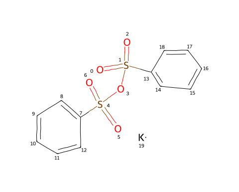 O=S(=O)(OS(=O)(=O)c1ccccc1)c1ccccc1.[K]